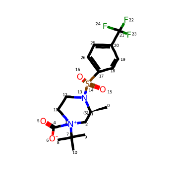 C[C@H]1C[N+](C(=O)[O-])(C(C)(C)C)CCN1S(=O)(=O)c1ccc(C(F)(F)F)cc1